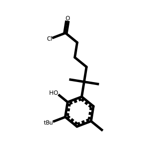 Cc1cc(C(C)(C)C)c(O)c(C(C)(C)CCCC(=O)Cl)c1